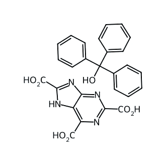 O=C(O)c1nc(C(=O)O)c2[nH]c(C(=O)O)nc2n1.OC(c1ccccc1)(c1ccccc1)c1ccccc1